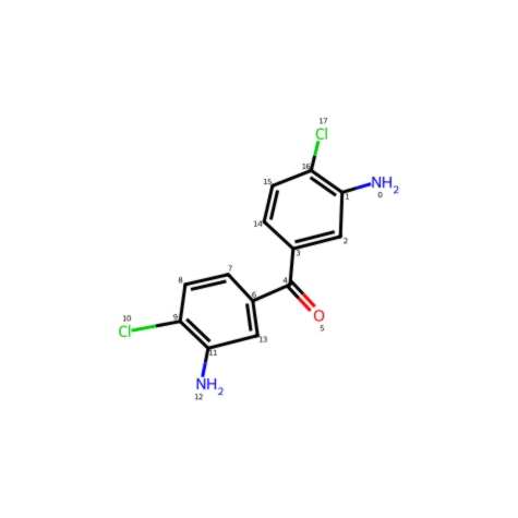 Nc1cc(C(=O)c2ccc(Cl)c(N)c2)ccc1Cl